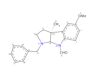 COc1ccc2c(c1)[C@]1(C)CCN(Cc3ccccc3)C1N2C=O